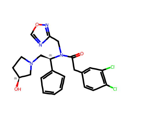 O=C(Cc1ccc(Cl)c(Cl)c1)N(Cc1ncon1)[C@H](CN1CC[C@H](O)C1)c1ccccc1